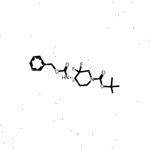 CC(C)(C)OC(=O)N1CC[C@H](NC(=O)OCc2ccccc2)C(F)(F)C1